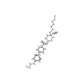 CCCCCCCC1(C#N)CCC(OC(=O)c2ccc(-c3ncc(CCCC)cn3)cc2)CC1